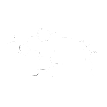 CC(C)c1[nH]nc(O[C@@H]2O[C@H](CO)[C@@H](O)[C@H](O)[C@H]2O)c1Cc1ccc(OCCCNC(C)(C)C(=O)NCCO)cc1